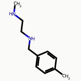 CNCCNCc1ccc(C)cc1